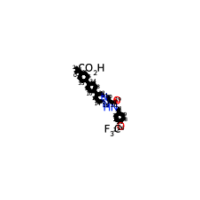 CC(C)(C(=O)O)C1CCC(c2ccc(-c3ccc4nc(C(=O)NCc5ccc(OC(F)(F)F)cc5)cn4c3)cc2)CC1